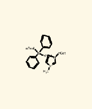 CCCCCCCCn1cc[n+](C)c1.CCCCC[B-](CCCCC)(c1ccccc1)c1ccccc1